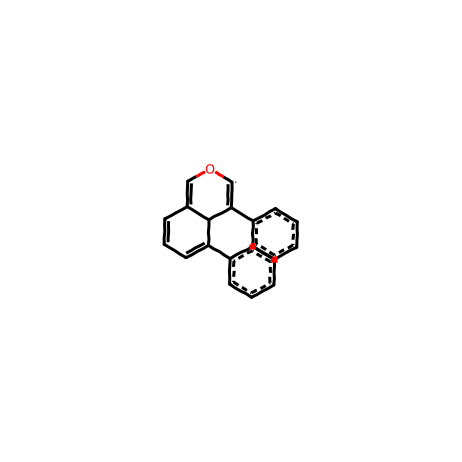 [C]1=C(c2ccccc2)C2C(=CO1)C=CC=C2c1ccccc1